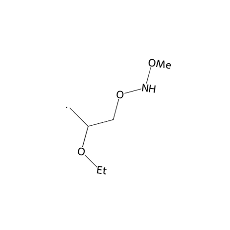 [CH2]COC([CH2])CONOC